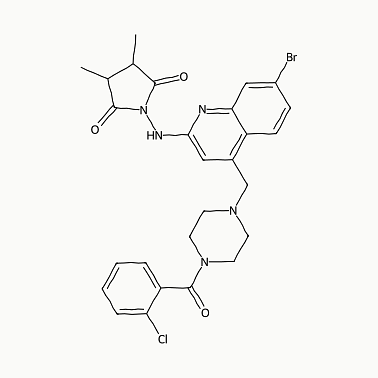 CC1C(=O)N(Nc2cc(CN3CCN(C(=O)c4ccccc4Cl)CC3)c3ccc(Br)cc3n2)C(=O)C1C